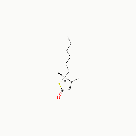 CCCCCC[C@@]1(C)SC(=O)C=C1C